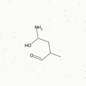 CC(C=O)CC(N)O